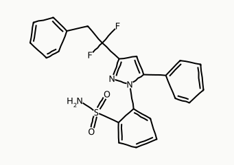 NS(=O)(=O)c1ccccc1-n1nc(C(F)(F)Cc2ccccc2)cc1-c1ccccc1